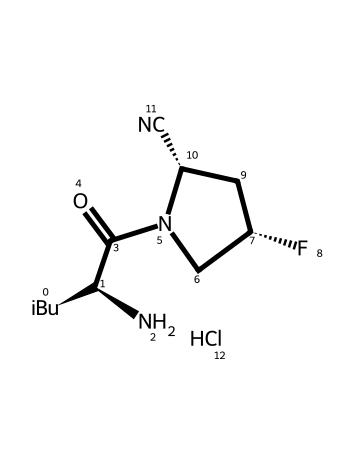 CC[C@H](C)[C@H](N)C(=O)N1C[C@@H](F)C[C@H]1C#N.Cl